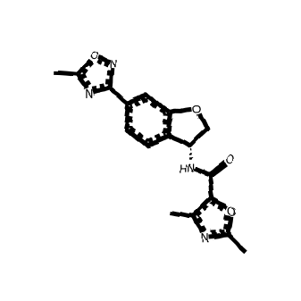 Cc1nc(-c2ccc3c(c2)OC[C@@H]3NC(=O)c2oc(C)nc2C)no1